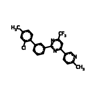 Cc1ccc(-c2cccc(-c3nc(-c4ccc(C)nc4)cc(C(F)(F)F)n3)c2)c(Cl)c1